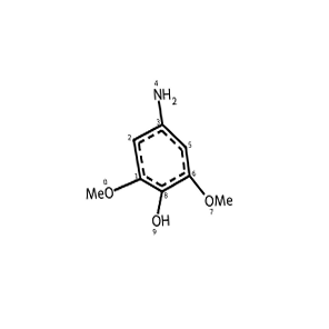 COc1cc(N)cc(OC)c1O